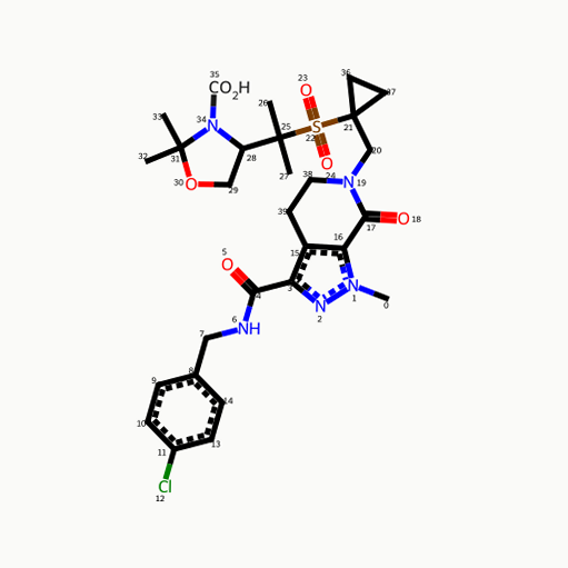 Cn1nc(C(=O)NCc2ccc(Cl)cc2)c2c1C(=O)N(CC1(S(=O)(=O)C(C)(C)C3COC(C)(C)N3C(=O)O)CC1)CC2